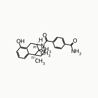 CC1(C)[C@H]2Cc3c(O)cccc3[C@]1(C)CCN2C(=O)c1ccc(C(N)=O)cc1